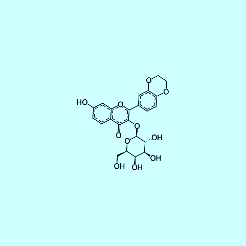 O=c1c(O[C@@H]2O[C@H](CO)[C@H](O)[C@H](O)[C@H]2O)c(-c2ccc3c(c2)OCCO3)oc2cc(O)ccc12